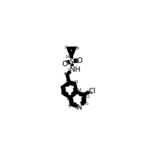 O=S(=O)(NCc1ccc2cncc(Cl)c2c1)C1CC1